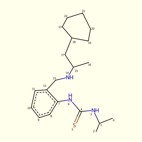 CC(C)NC(=S)Nc1ccccc1CNC(C)CC1CCCCC1